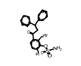 CC(C)c1ccc(C(=O)CC(c2ccccc2)c2ccccc2)c(C(C)C)c1OS(N)(=O)=O